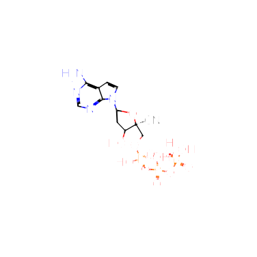 N#C[C@]1(COP(=O)(O)OP(=O)(O)OP(=O)(O)O)OC(n2ccc3c(N)ncnc32)CC1O